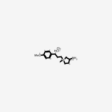 COc1ccc(CCC[N+]2(C)CCC(N)C2)cc1.Cl.[Cl-]